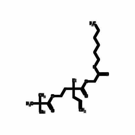 C=CCC(CC)(CCOC(=O)C(C)(C)C(C)(C)C)C(=O)OCC(=O)OCCCCCC(F)(F)F